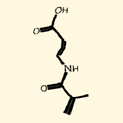 C=C(C)C(=O)NC=CC(=O)O